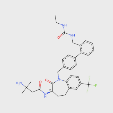 CCNC(=O)NCc1ccccc1-c1ccc(CN2C(=O)[C@H](NC(=O)CC(C)(C)N)CCc3cc(C(F)(F)F)ccc32)cc1